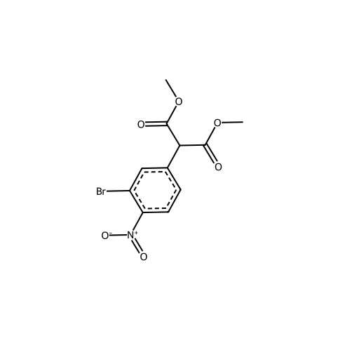 COC(=O)C(C(=O)OC)c1ccc([N+](=O)[O-])c(Br)c1